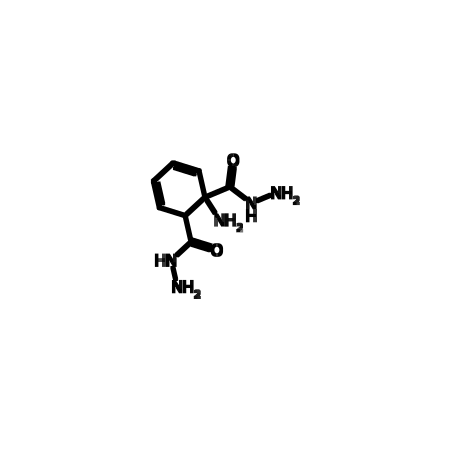 NNC(=O)C1C=CC=CC1(N)C(=O)NN